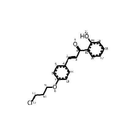 O=C(C=Cc1ccc(OCCCCl)cc1)c1ccccc1O